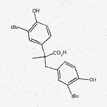 CC(C)(C)c1cc(CC(C)(C(=O)O)c2ccc(O)c(C(C)(C)C)c2)ccc1O